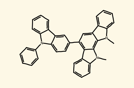 Cn1c2ccccc2c2cc(-c3ccc4c(c3)c3ccccc3n4-c3ccccc3)c3c4ccccc4n(C)c3c21